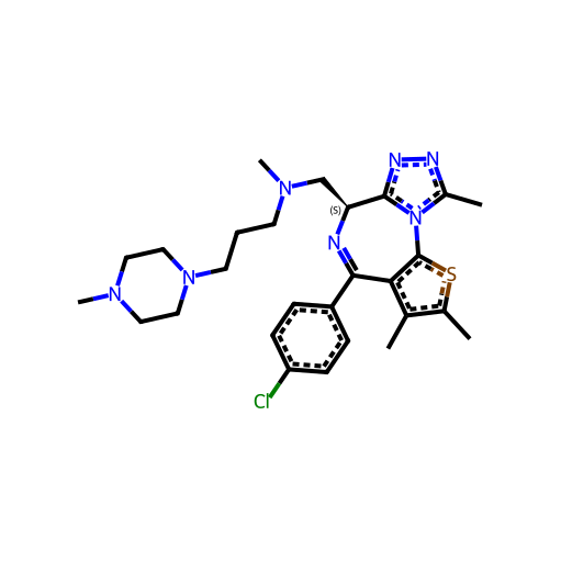 Cc1sc2c(c1C)C(c1ccc(Cl)cc1)=N[C@@H](CN(C)CCCN1CCN(C)CC1)c1nnc(C)n1-2